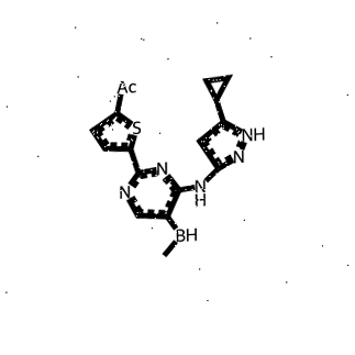 CBc1cnc(-c2ccc(C(C)=O)s2)nc1Nc1cc(C2CC2)[nH]n1